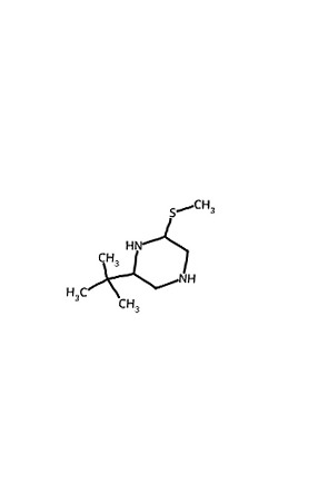 CSC1CNCC(C(C)(C)C)N1